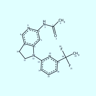 CC(=O)Nc1cc2c(cn1)CCN2c1cccc(C(C)(F)F)n1